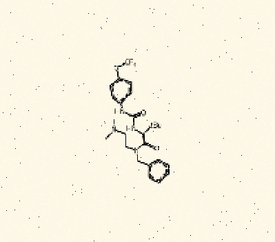 CN(C)CCN(Cc1ccccc1)C(=O)[C@@H](NC(=O)Nc1ccc(OC(F)(F)F)cc1)C(C)(C)C